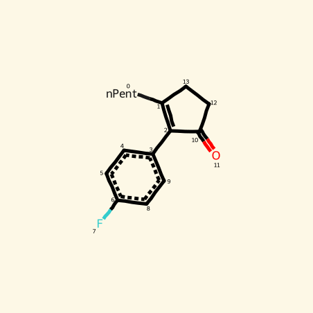 CCCCCC1=C(c2ccc(F)cc2)C(=O)CC1